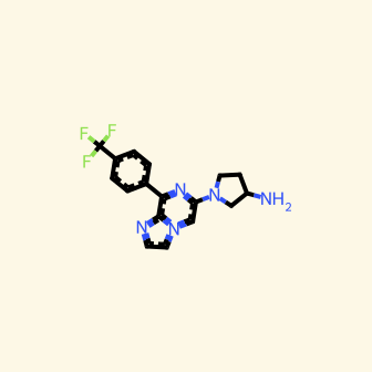 NC1CCN(c2cn3ccnc3c(-c3ccc(C(F)(F)F)cc3)n2)C1